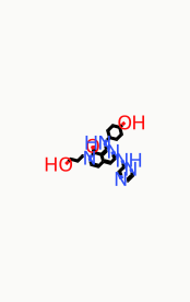 O=c1c2c(NC3CCC(O)CC3)nc(Nc3cnccn3)cc2ccn1CCCO